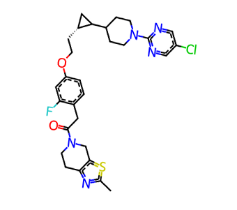 Cc1nc2c(s1)CN(C(=O)Cc1ccc(OCC[C@@H]3CC3C3CCN(c4ncc(Cl)cn4)CC3)cc1F)CC2